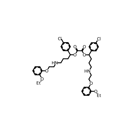 CCOc1ccccc1OCCNCCCC(OC(=O)C(=O)OC(CCCNCCOc1ccccc1OCC)c1ccc(Cl)cc1)c1ccc(Cl)cc1